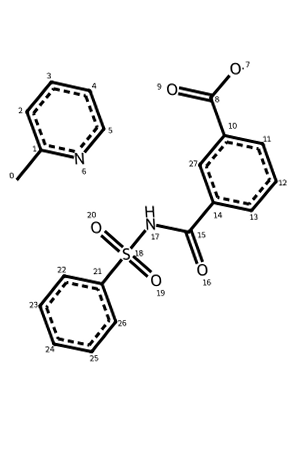 Cc1ccccn1.[O]C(=O)c1cccc(C(=O)NS(=O)(=O)c2ccccc2)c1